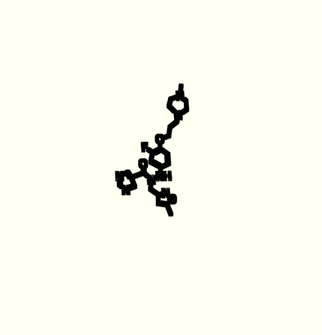 Cc1cc(CN(Nc2ccc(OCCCN3CCN(C)CC3)c(F)c2)C(=O)c2cncnc2)no1